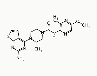 COc1cnc(NC(=O)N2CCN(c3nc(N)nc4scnc34)C(C)C2)c(C)n1